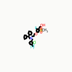 CS(=O)(=O)c1cc(OCCCN(Cc2cccc(C(F)(F)F)c2Cl)CC(c2ccccc2)c2ccccc2)cc(F)c1CCO